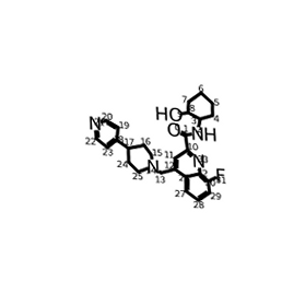 O=C(NC1CCCCC1O)c1cc(CN2CCC(c3ccncc3)CC2)c2cccc(F)c2n1